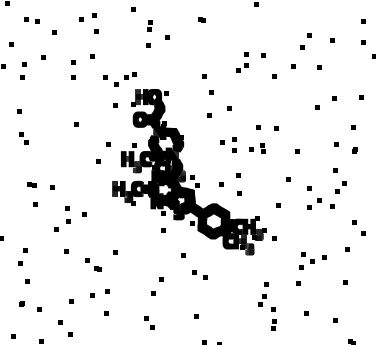 Cc1nc(CN2CCN(C(=O)CO)CC2(C)C)c2cc(C3CCC(C)(C)CC3)sc2n1